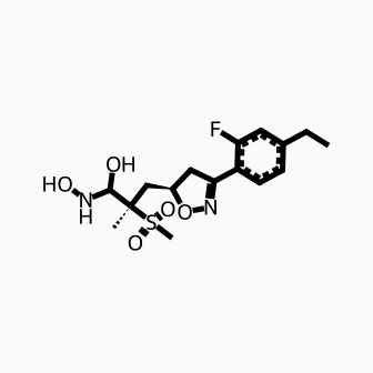 CCc1ccc(C2=NO[C@@H](C[C@](C)(C(O)NO)S(C)(=O)=O)C2)c(F)c1